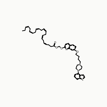 CC/C=C\C/C=C\C/C=C\C/C=C\C/C=C\C/C=C\CCC(=O)OCOc1ccc2ccc(OCCCCN3CCN(c4cccc5sccc45)CC3)cc2n1